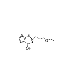 CCOCCCN1CC(O)c2ccsc2S1